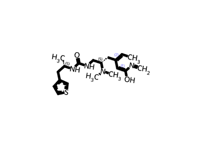 C=N/C(O)=C\C(=C/C)C[C@@H](CNC(=O)N[C@@H](C)Cc1ccsc1)N(C)C